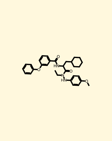 CCN(Nc1ccc(OC)cc1)C(=O)C(CC1CCCCC1)NC(=O)c1cccc(Oc2ccccc2)c1